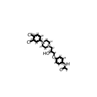 CC(=O)Nc1ccc(OC[C@@H](O)CN2CCN(c3ccc(Cl)c(Cl)c3)CC2)cc1